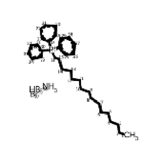 Br.CCCCCCCCCCCCCCCC[P+](c1ccccc1)(c1ccccc1)c1ccccc1.N.[Br-]